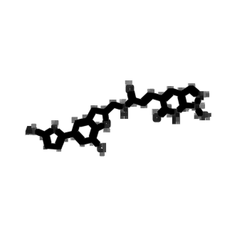 CC(=O)c1ccc(-c2cc(Cl)c3c(c2)CC(CNC(=O)/C=C/c2cc4cnn(C(C)C)c4[nH]c2=O)O3)s1